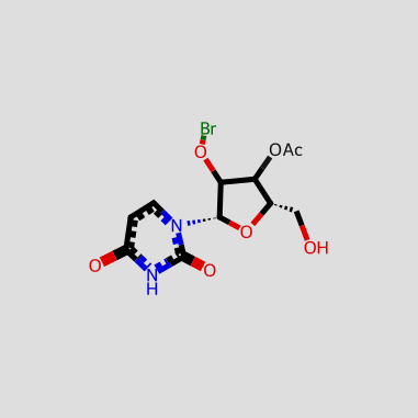 CC(=O)OC1C(OBr)[C@@H](n2ccc(=O)[nH]c2=O)O[C@H]1CO